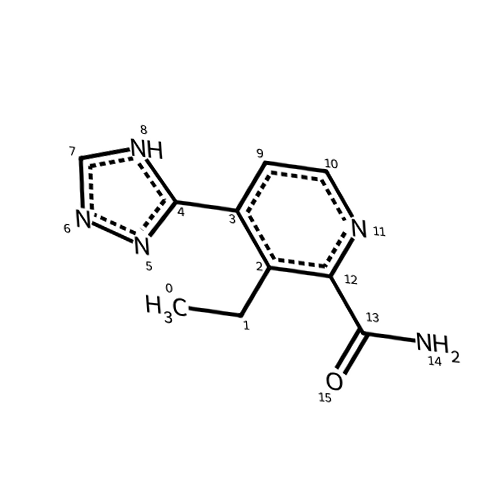 CCc1c(-c2nnc[nH]2)ccnc1C(N)=O